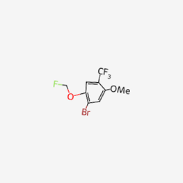 COc1cc(Br)c(OCF)cc1C(F)(F)F